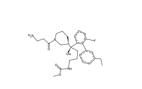 CCc1cccc(-c2c(F)cccc2[C@](O)(CCCNC(=O)OC)[C@@H]2CCCN(C(=O)CCN)C2)c1